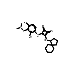 CN(C)Sc1c(Cl)ccc(Nc2c(NC3CCCC34CCCCC4)c(=O)c2=O)c1O